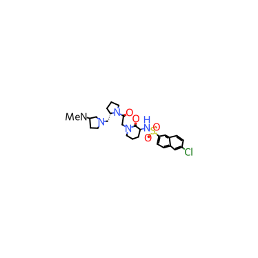 CNC1CCN(C[C@@H]2CCCN2C(=O)CN2CCC[C@H](NS(=O)(=O)c3ccc4cc(Cl)ccc4c3)C2=O)C1